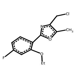 CCOc1cc(F)ccc1-c1nc(CCl)c(C)o1